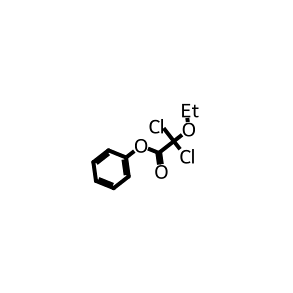 CCOC(Cl)(Cl)C(=O)Oc1ccccc1